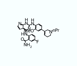 CCCN1CCC=C(c2ccc(Nc3nc(Nc4ccc(F)cc4C(N)=O)c4ccnc-4[nH]3)c(OC)c2)C1